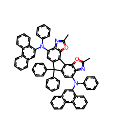 Cc1nc2c(N(c3ccccc3)c3cc4ccccc4c4ccccc34)cc3c(c2o1)-c1c(cc(N(c2ccccc2)c2cc4ccccc4c4ccccc24)c2nc(C)oc12)C3(c1ccccc1)c1ccccc1